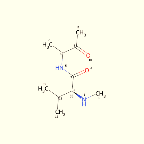 CN[C@H](C(=O)NC(C)C(C)=O)C(C)C